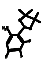 CC1(C)OB(c2c(N)cc(F)c(F)c2F)OC1(C)C